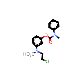 CN(C(=O)Oc1cccc(N(CCCl)C(=O)O)c1)c1ccccc1